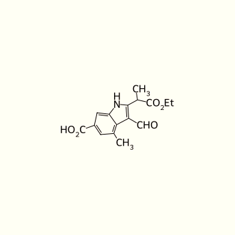 CCOC(=O)C(C)c1[nH]c2cc(C(=O)O)cc(C)c2c1C=O